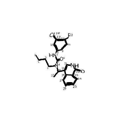 CCCCN(C(=O)Nc1ccc(F)c(Cl)c1)C(C)c1c[nH]c(=O)c2ccccc12